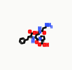 NCCC(=O)NCCC(N[C@@H](CCc1ccccc1)C(=O)O)C(=O)N1CCC[C@H]1C(=O)O